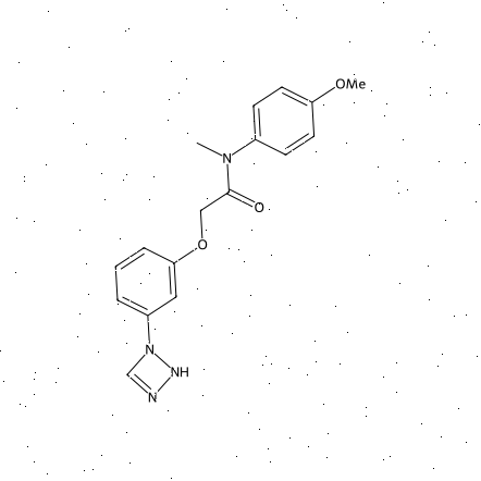 COc1ccc(N(C)C(=O)COc2cccc(-n3cn[nH]3)c2)cc1